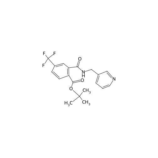 CC(C)(C)OC(=O)c1ccc(C(F)(F)F)cc1C(=O)NCc1cccnc1